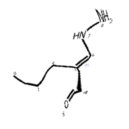 CCC/C(C=O)=C\NN